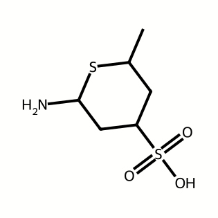 CC1CC(S(=O)(=O)O)CC(N)S1